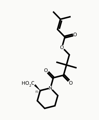 CC(C)=CC(=O)OCC(C)(C)C(=O)C(=O)N1CCCC[C@H]1C(=O)O